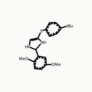 COc1ccc(OC)c(C2NC=C(Sc3ccc(C(C)(C)C)cc3)N2)c1